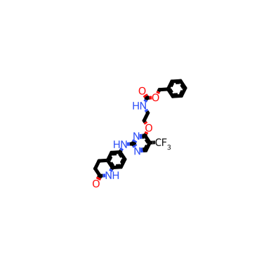 O=C1CCc2cc(Nc3ncc(C(F)(F)F)c(OCCNC(=O)OCc4ccccc4)n3)ccc2N1